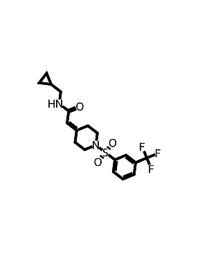 O=C(C=C1CCN(S(=O)(=O)c2cccc(C(F)(F)F)c2)CC1)NCC1CC1